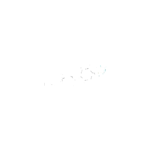 CCCCC12CCC(c3ccc(S(F)(F)(F)(F)F)cc3)(CC1)CC2